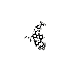 CCC(=O)N1CC[C@@H](NC(=O)c2cc(OC)c(Nc3ncc4c(n3)N(C3CCCC3)CC(F)(F)C(=O)N4C)cc2F)C1